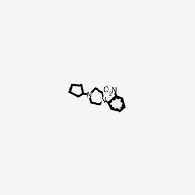 O=[N+]([O-])c1ccccc1N1CCN(C2CCCC2)CC1